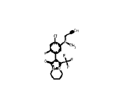 C#CCN(C)c1cc(-c2c(C(F)(F)F)n3n(c2=O)CCCC3)c(F)cc1Cl